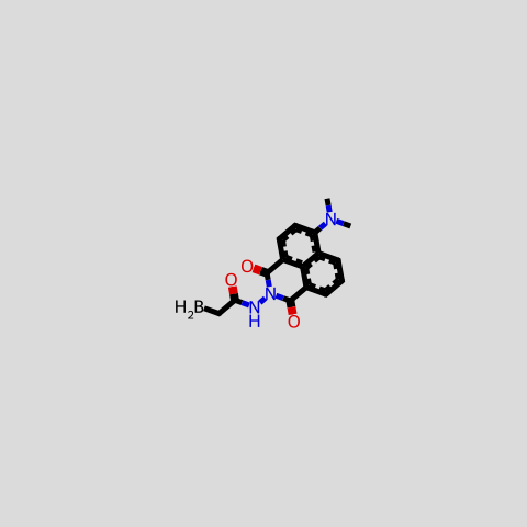 BCC(=O)NN1C(=O)c2cccc3c(N(C)C)ccc(c23)C1=O